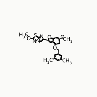 COc1cc(OCc2cc(C)cc(C)c2)c2cc(-c3cn4nc(OC)sc4n3)oc2c1